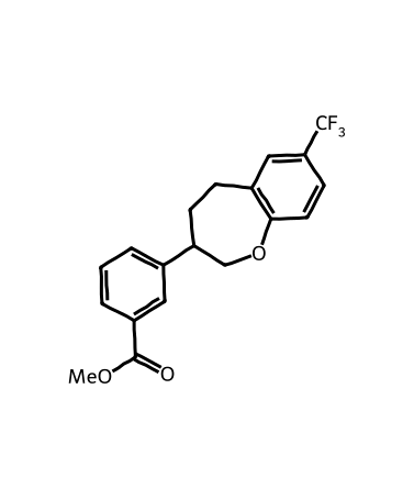 COC(=O)c1cccc(C2CCc3cc(C(F)(F)F)ccc3OC2)c1